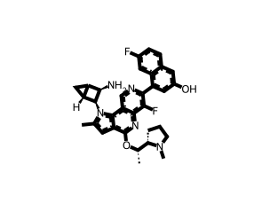 Cc1cc2c(O[C@@H](C)[C@@H]3CCCN3C)nc3c(F)c(-c4cc(O)cc5ccc(F)cc45)ncc3c2n1[C@@H]1[C@H](N)C2C[C@H]21